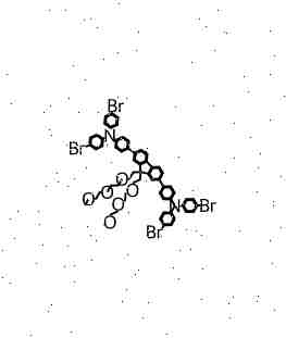 COCCOCCOCCC1(CCOCCOCCOC)c2cc(-c3ccc(N(c4ccc(Br)cc4)c4ccc(Br)cc4)cc3)ccc2-c2ccc(-c3ccc(N(c4ccc(Br)cc4)c4ccc(Br)cc4)cc3)cc21